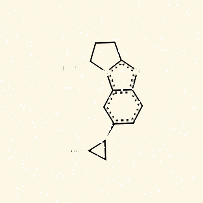 CC(C)[C@H]1C[C@@H]1c1ccc2nc3n(c2c1)[C@H](C(F)(F)F)CC3